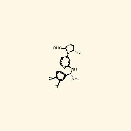 CC(C)[C@H]1COC(C=O)N1c1ccnc(N[C@H](C)c2ccc(Cl)c(Cl)c2)n1